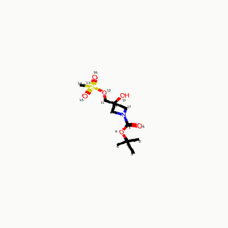 CC(C)(C)OC(=O)N1CC(O)(COS(C)(=O)=O)C1